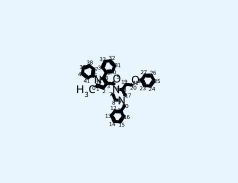 Cc1cc(C(=O)N2CCN(Cc3ccccc3)CC2CCOc2ccccc2)c(-c2ccccc2)n1-c1ccccc1